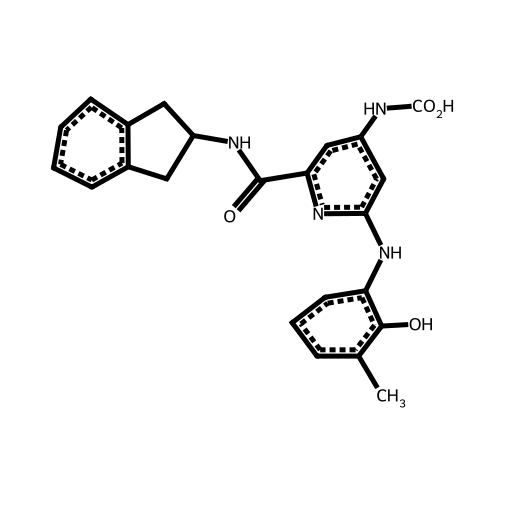 Cc1cccc(Nc2cc(NC(=O)O)cc(C(=O)NC3Cc4ccccc4C3)n2)c1O